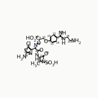 C[C@H]1[C@H](NC(=O)/C(=N\OC(COc2ccc(C(=N)NCCN)cc2)C(=O)O)c2nc(N)sc2Cl)C(=O)N1S(=O)(=O)O